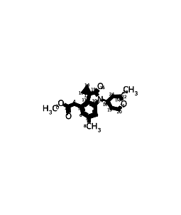 COC(=O)Cc1cc(C)cc2c1C1(CC1)C(=O)N2[C@@H]1CCO[C@@H](C)C1